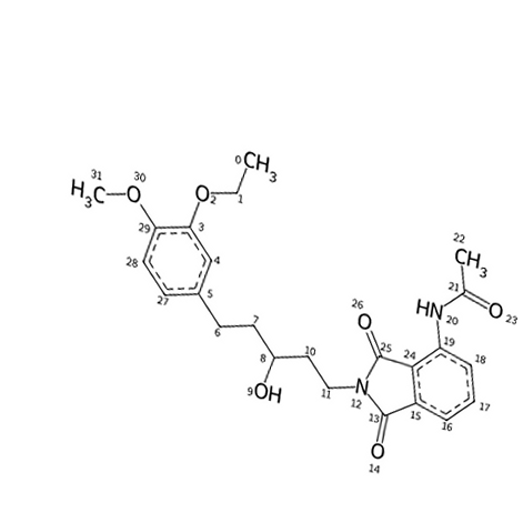 CCOc1cc(CCC(O)CCN2C(=O)c3cccc(NC(C)=O)c3C2=O)ccc1OC